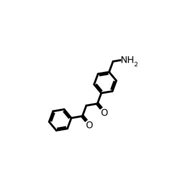 NCc1ccc(C(=O)CC(=O)c2ccccc2)cc1